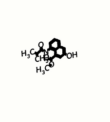 COC(=O)c1cc(O)cc2cccc(NC(=O)C(C)C)c12